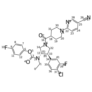 CCN(C(=O)Oc1ccc(F)cc1)[C@@H]1CN(C(=O)C2CCN(c3ccc(C#N)cn3)CC2)C[C@H]1c1ccc(Cl)c(F)c1